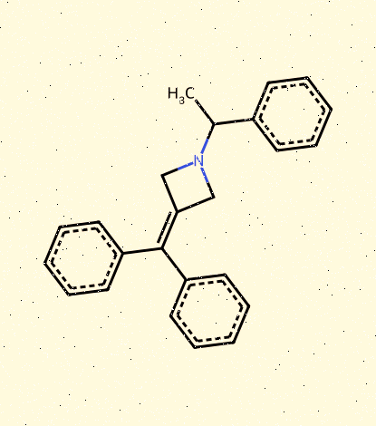 CC(c1ccccc1)N1CC(=C(c2ccccc2)c2ccccc2)C1